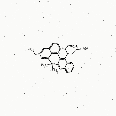 C=CC1C(CCOC)c2c3c(cc4ccccc24)C(C)(C)c2cc(CC(C)(C)C)cc4cc[n+]1c-3c24